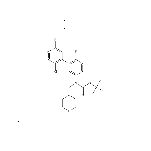 CC(C)(C)OC(=O)N(CC1CCOCC1)c1ccc(F)c(-c2cc(F)ncc2Cl)c1